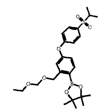 CCOCOCc1cc(Oc2ccc(S(=O)(=O)C(C)C)cc2)ccc1B1OC(C)(C)C(C)(C)O1